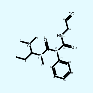 CCC(N(C)C)N(C)C(=O)N(C(=O)NC[C]=O)c1ccccc1